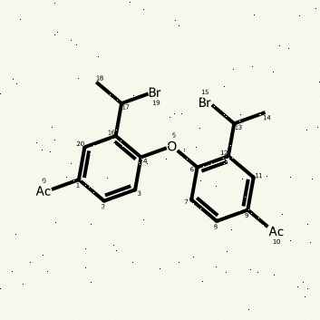 CC(=O)c1ccc(Oc2ccc(C(C)=O)cc2C(C)Br)c(C(C)Br)c1